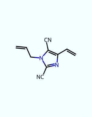 C=CCn1c(C#N)nc(C=C)c1C#N